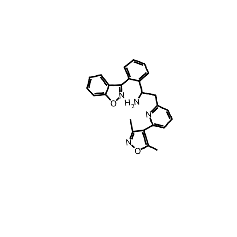 Cc1noc(C)c1-c1cccc(CC(N)c2ccccc2-c2noc3ccccc23)n1